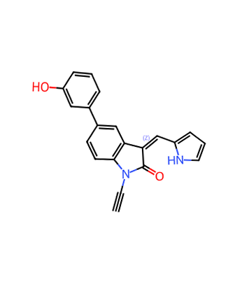 C#CN1C(=O)/C(=C\c2ccc[nH]2)c2cc(-c3cccc(O)c3)ccc21